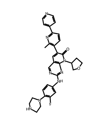 Cc1nc(-c2ccncc2)ccc1-c1cc2cnc(Nc3ccc(N4CCNCC4)c(F)c3)nc2n(C2CCOC2)c1=O